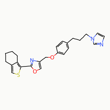 c1cn(CCCc2ccc(OCc3coc(-c4scc5c4CCCC5)n3)cc2)cn1